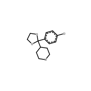 Clc1ccc(C2(C3CC[N]CC3)OCCO2)cc1